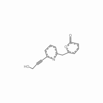 O=c1cccc(Cc2cccc(C#CCO)n2)o1